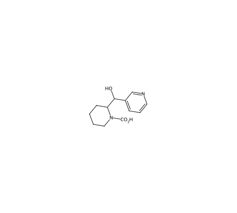 O=C(O)N1CCCCC1C(O)c1cccnc1